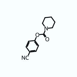 N#Cc1ccc(OC(=O)N2CCCCC2)cc1